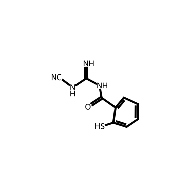 N#CNC(=N)NC(=O)c1ccccc1S